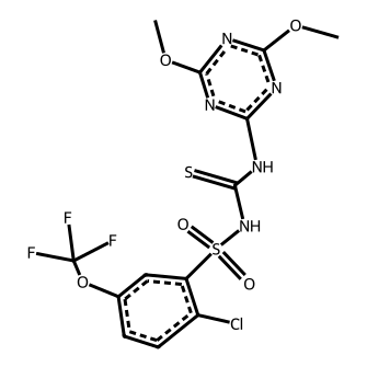 COc1nc(NC(=S)NS(=O)(=O)c2cc(OC(F)(F)F)ccc2Cl)nc(OC)n1